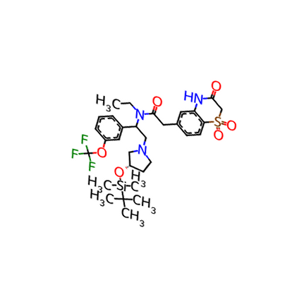 CCN(C(=O)Cc1ccc2c(c1)NC(=O)CS2(=O)=O)C(CN1CC[C@H](O[Si](C)(C)C(C)(C)C)C1)c1cccc(OC(F)(F)F)c1